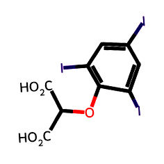 O=C(O)C(Oc1c(I)cc(I)cc1I)C(=O)O